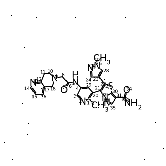 Cc1ncc(NC(=O)CN2CCc3ncccc3C2)cc1-c1c(-c2cnn(C)c2)sc2c(C(N)=O)cnn12